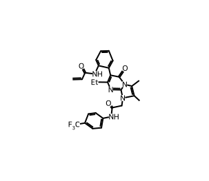 C=CC(=O)Nc1ccccc1-c1c(CC)nc2n(CC(=O)Nc3ccc(C(F)(F)F)cc3)c(C)c(C)n2c1=O